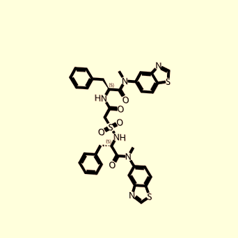 CN(C(=O)[C@H](Cc1ccccc1)NC(=O)CS(=O)(=O)N[C@@H](Cc1ccccc1)C(=O)N(C)c1ccc2scnc2c1)c1ccc2scnc2c1